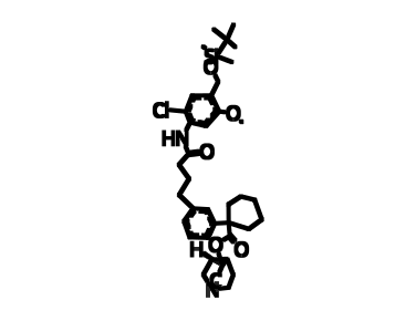 COc1cc(NC(=O)CCCc2cccc(C3(C(=O)O[C@H]4CN5CCC4CC5)CCCCC3)c2)c(Cl)cc1CO[Si](C)(C)C(C)(C)C